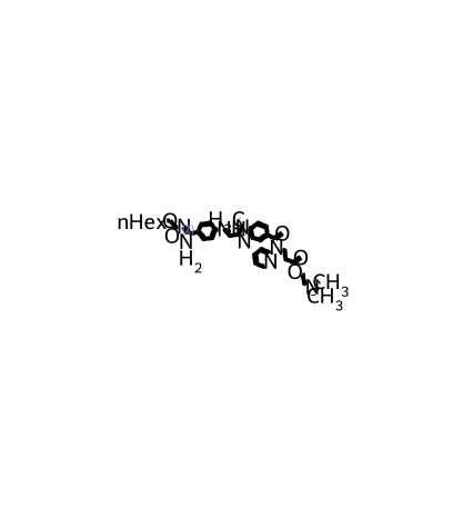 CCCCCCOC(=O)/N=C(\N)c1ccc(NCc2nc3cc(C(=O)N(CCC(=O)OCCN(C)C)c4ccccn4)ccc3n2C)cc1